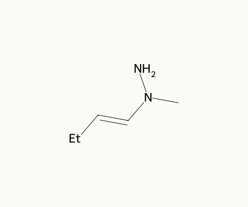 CCC=CN(C)N